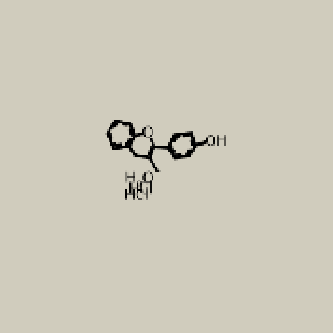 CC1=C(c2ccc(O)cc2)Oc2ccccc2C1.Cl.Cl.O